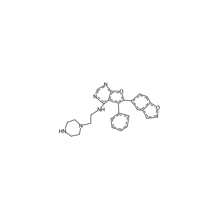 c1ccc(-c2c(-c3ccc4occc4c3)oc3ncnc(NCCN4CCNCC4)c23)cc1